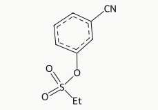 CCS(=O)(=O)Oc1cccc(C#N)c1